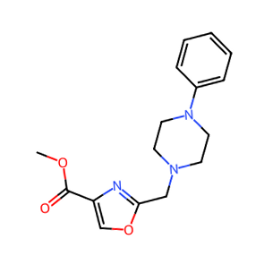 COC(=O)c1coc(CN2CCN(c3ccccc3)CC2)n1